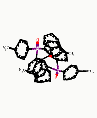 Cc1ccc(P(=O)(c2ccc(C)cc2)c2ccc3ccccc3c2-c2c(P(=O)(c3ccc(C)cc3)c3ccc(C)cc3)ccc3ccccc23)cc1